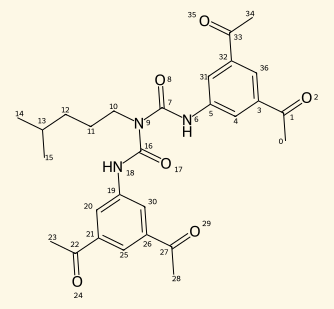 CC(=O)c1cc(NC(=O)N(CCCC(C)C)C(=O)Nc2cc(C(C)=O)cc(C(C)=O)c2)cc(C(C)=O)c1